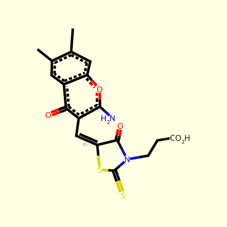 Cc1cc2oc(N)c(/C=C3/SC(=S)N(CCC(=O)O)C3=O)c(=O)c2cc1C